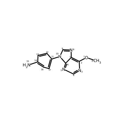 COc1ncnc2c1ncn2-c1ccc(N)cc1